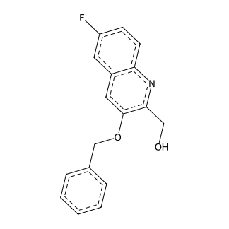 OCc1nc2ccc(F)cc2cc1OCc1ccccc1